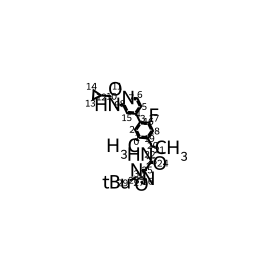 Cc1cc(-c2ccnc(NC(=O)C3CC3)c2)c(F)cc1C(C)NC(=O)c1noc(C(C)(C)C)n1